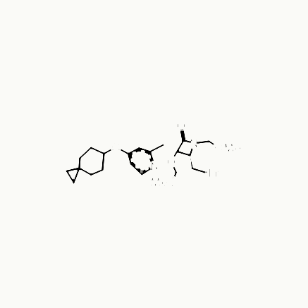 COCO[C@@]1(Cc2cc(OC3CCC4(CC3)CC4)ccn2)C(=O)N(COC)[C@H]1CC(C)C